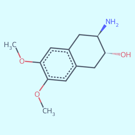 COc1cc2c(cc1OC)C[C@@H](O)[C@H](N)C2